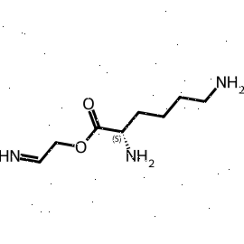 N=CCOC(=O)[C@@H](N)CCCCN